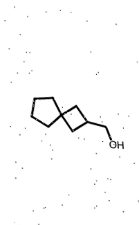 OCC1CC2(CCCC2)C1